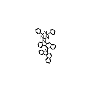 c1ccc(-c2nc(-c3ccccc3)nc(-n3c4ccccc4c4c(-n5c6ccccc6c6c7ccccc7ccc65)c5ccccc5cc43)n2)cc1